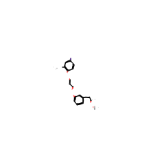 CC(C)O[C@@H](Cc1cccc(OC[C@H](F)COc2ccc(I)cc2C#N)c1)C(=O)O